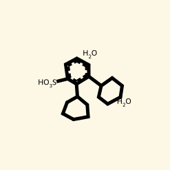 O.O.O=S(=O)(O)c1cccc(C2CCCCC2)c1C1CCCCC1